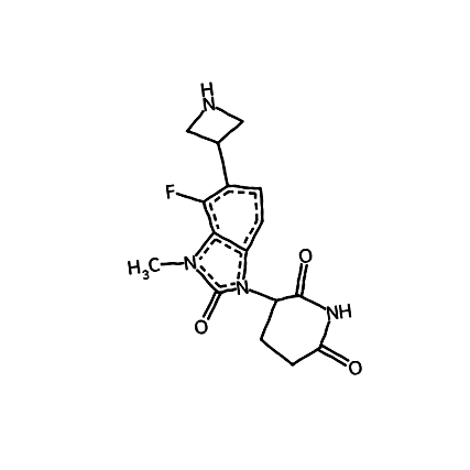 Cn1c(=O)n(C2CCC(=O)NC2=O)c2ccc(C3CNC3)c(F)c21